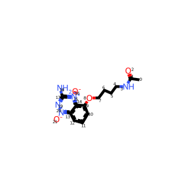 CC(=O)NCCCCOc1cccc2c1[n+]([O-])c(N)n[n+]2[O-]